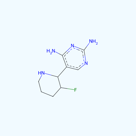 Nc1ncc(C2NCCCC2F)c(N)n1